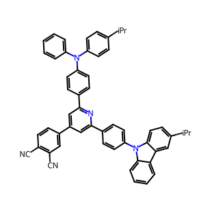 CC(C)c1ccc(N(c2ccccc2)c2ccc(-c3cc(-c4ccc(C#N)c(C#N)c4)cc(-c4ccc(-n5c6ccccc6c6cc(C(C)C)ccc65)cc4)n3)cc2)cc1